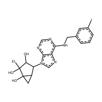 CCC1(O)C(O)C(n2cnc3c(NCc4cccc(I)c4)ncnc32)C2CC21O